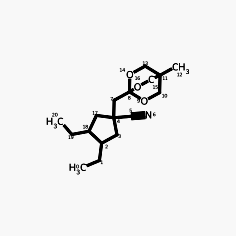 CCC1CC(C#N)(CC23OCC(C)(CO2)CO3)CC1CC